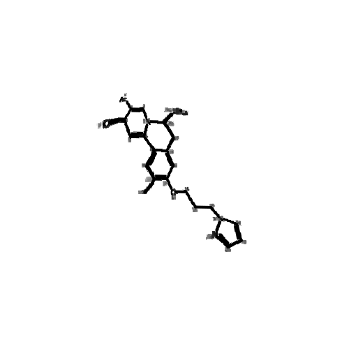 CC(=O)c1cn2c(cc1=O)-c1cc(C)c(OCCCn3cccn3)cc1CC2C(C)(C)C